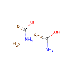 NC(O)=S.NC(O)=S.S